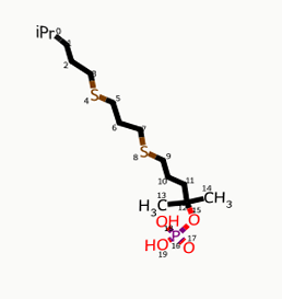 CC(C)CCCSCCCSCCCC(C)(C)OP(=O)(O)O